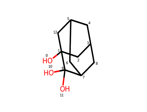 OC12CC3CC(CC(C3)C1(O)O)C2